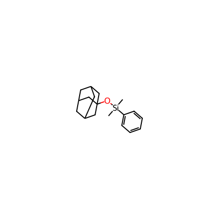 C[Si](C)(OC12CC3CC(CC(C3)C1)C2)c1ccccc1